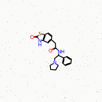 O=C(Cc1ccc2sc(=O)[nH]c2c1)NC(CN1CCCC1)c1ccccc1